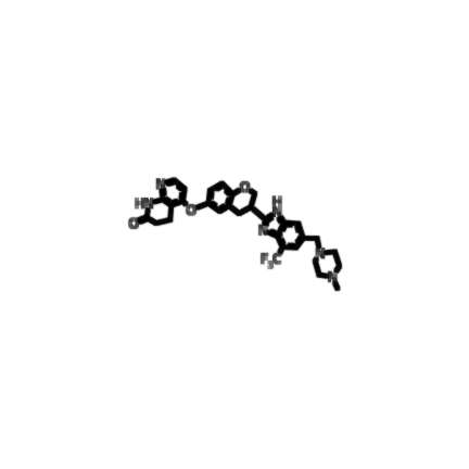 CN1CCN(Cc2cc(C(F)(F)F)c3nc(C4COc5ccc(Oc6ccnc7c6CCC(=O)N7)cc5C4)[nH]c3c2)CC1